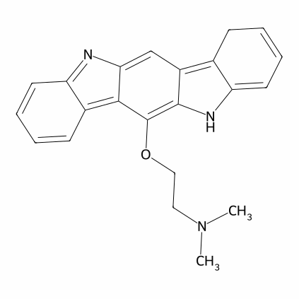 CN(C)CCOc1c2c(cc3c4c([nH]c13)=CC=CC4)N=c1ccccc1=2